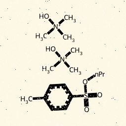 CCCOS(=O)(=O)c1ccc(C)cc1.C[N+](C)(C)O.C[N+](C)(C)O